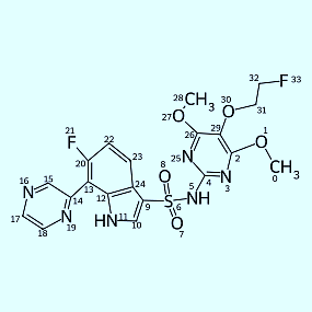 COc1nc(NS(=O)(=O)c2c[nH]c3c(-c4cnccn4)c(F)ccc23)nc(OC)c1OCCF